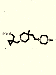 CCCC(C)CC1(CN2CCC(C)(CCN3CCN(C)CC3)CC2)CC1